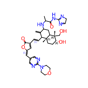 C=C1C(NC(C)C(=O)NC2=NCC=N2)CC2[C@](C)(CC[C@@H](O)[C@@]2(C)CO)C1/C=C/C1=CC(=C\c2cnc(N3CCOCC3)nc2)/OC1=O